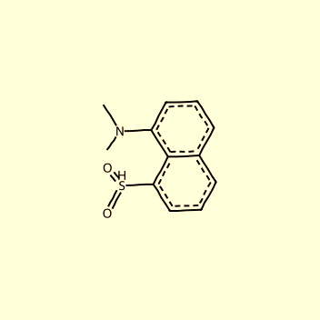 CN(C)c1cccc2cccc([SH](=O)=O)c12